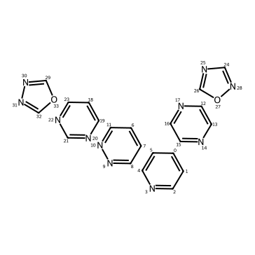 c1ccncc1.c1ccnnc1.c1cnccn1.c1cncnc1.c1ncon1.c1nnco1